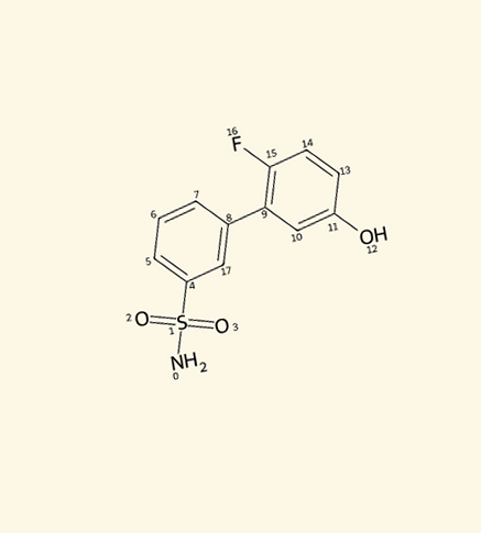 NS(=O)(=O)c1cccc(-c2cc(O)ccc2F)c1